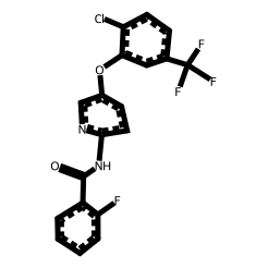 O=C(Nc1ccc(Oc2cc(C(F)(F)F)ccc2Cl)cn1)c1ccccc1F